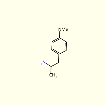 CNc1ccc(CC(C)N)cc1